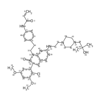 C=CC(=O)Nc1ccc(CCn2c(=O)c(-c3cc(OC)cc(OC)c3Cl)cc3cnc(NCCN4CCN(CC(C)(C)O)CC4)nc32)cc1